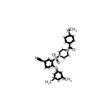 COc1ccc(C(=O)N2CCN(S(=O)(=O)c3cc(C#N)ccc3Oc3cc(C)cc(C)c3)CC2)cc1